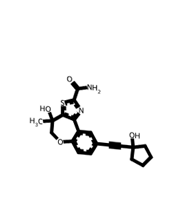 CC1(O)COc2ccc(C#CC3(O)CCCC3)cc2-c2nc(C(N)=O)sc21